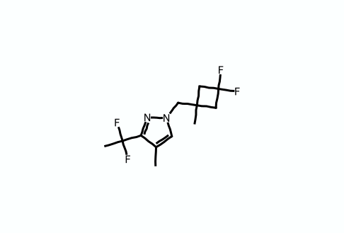 Cc1cn(CC2(C)CC(F)(F)C2)nc1C(C)(F)F